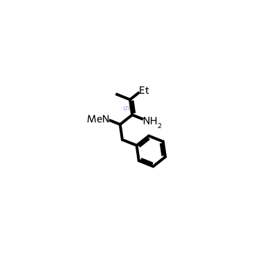 CC/C(C)=C(\N)C(Cc1ccccc1)NC